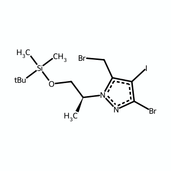 C[C@@H](CO[Si](C)(C)C(C)(C)C)n1nc(Br)c(I)c1CBr